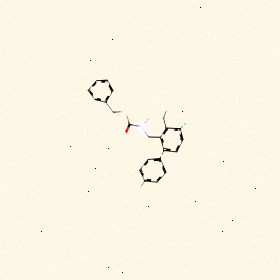 CCN(Cc1c(-c2ccc(C(F)(F)F)cc2)ccc(F)c1CC(=O)O)C(=O)OCc1ccccc1